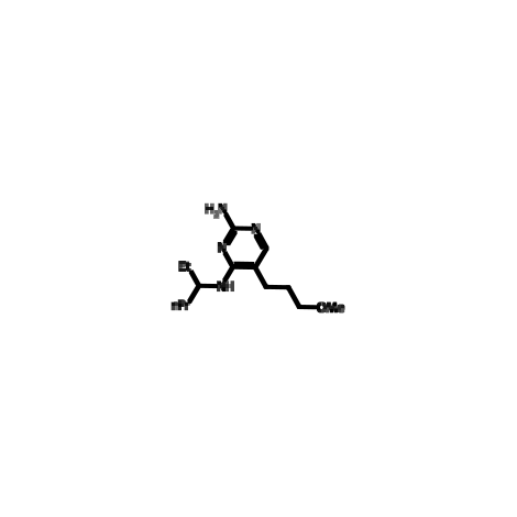 CCCC(CC)Nc1nc(N)ncc1CCCOC